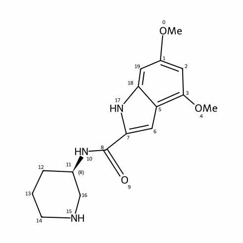 COc1cc(OC)c2cc(C(=O)N[C@@H]3CCCNC3)[nH]c2c1